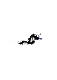 O=C(O)CCC(NC(=O)NC(CCCCNC(=O)C(Cc1ccc2ccccc2c1)NC(=O)C1CCC(CNC(=O)C(CCC(=O)O)NC(=O)C(CCC(=O)O)NC(=O)c2ccc(N/N=C/I)nc2)CC1)C(=O)O)C(=O)O